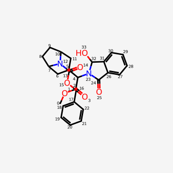 COC(=O)C(C1CC2CCC(C1)N2C(=O)OCc1ccccc1)N1C(=O)c2ccccc2C1O